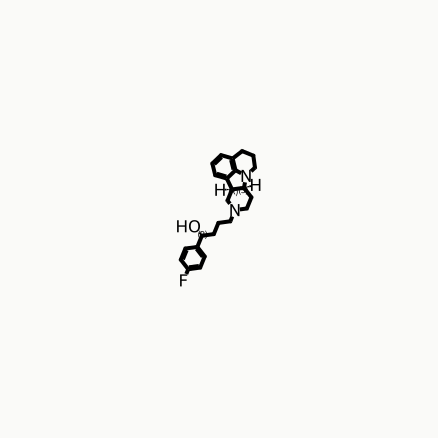 O[C@H](CCCN1CC[C@H]2[C@@H](C1)c1cccc3c1N2CCC3)c1ccc(F)cc1